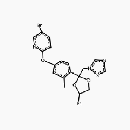 CCC1COC(Cn2cncn2)(c2ccc(Oc3ccc(Br)cn3)cc2C)O1